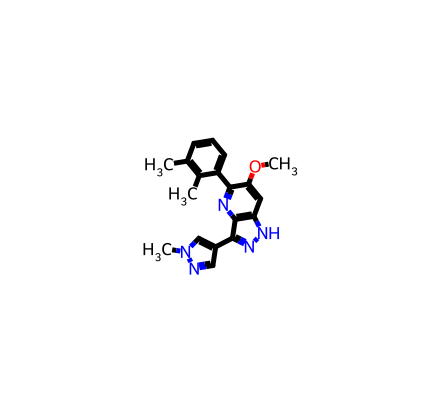 COc1cc2[nH]nc(-c3cnn(C)c3)c2nc1-c1cccc(C)c1C